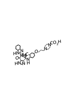 O=C(Nc1ccc(OCCCN2CCN(C(=O)O)CC2)cc1C(F)(F)F)c1nc[nH]c1C(=O)Nc1nc2ccccc2[nH]1